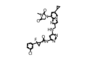 CN1C(=O)CN(c2cc(C3CC3)cn3cc(CNc4cc(NC(=O)C5CC5(F)c5cccc(Cl)c5)ncn4)nc23)C1=O